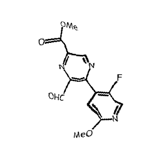 COC(=O)c1cnc(-c2cc(OC)ncc2F)c(C=O)n1